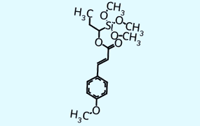 CCC(OC(=O)C=Cc1ccc(OC)cc1)[Si](OC)(OC)OC